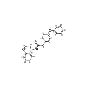 O=C(Cc1ccc(Oc2ccccc2)cc1)NC1CCOc2ncccc21